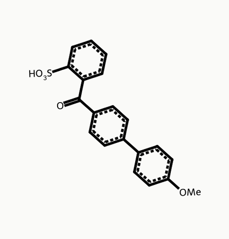 COc1ccc(-c2ccc(C(=O)c3ccccc3S(=O)(=O)O)cc2)cc1